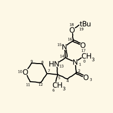 CN1C(=O)CC(C)(C2CCOCC2)N/C1=N/C(=O)OC(C)(C)C